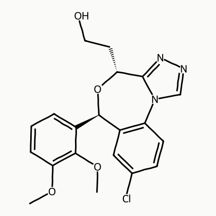 COc1cccc([C@H]2O[C@H](CCO)c3nncn3-c3ccc(Cl)cc32)c1OC